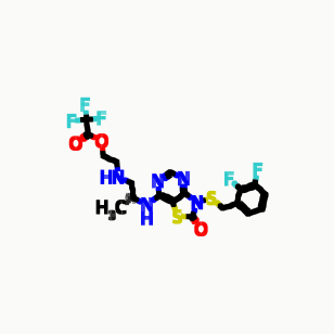 C[C@H](CNCCOC(=O)C(F)(F)F)Nc1ncnc2c1sc(=O)n2SCc1cccc(F)c1F